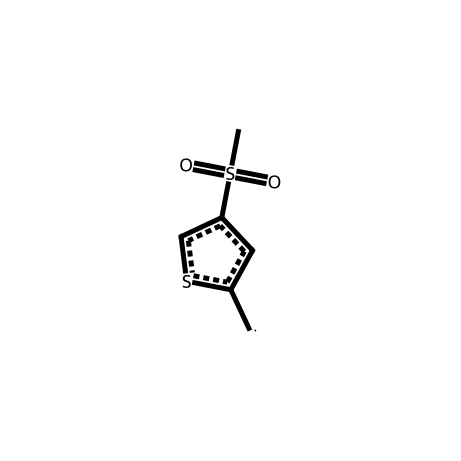 [CH2]c1cc(S(C)(=O)=O)cs1